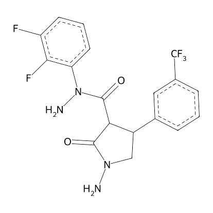 NN1CC(c2cccc(C(F)(F)F)c2)C(C(=O)N(N)c2cccc(F)c2F)C1=O